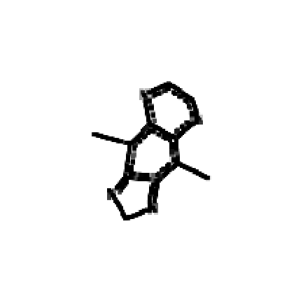 Cc1c2c(c(C)c3nccnc13)=NCN=2